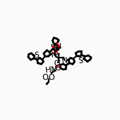 C=CC(=O)OCCNC(=O)OCC(CSc1nc2ccccc2s1)(Cn1c2ccccc2c2ccc(-c3cccc4c3sc3ccccc34)cc21)Cn1c2ccccc2c2ccc(-c3cccc4c3sc3ccccc34)cc21